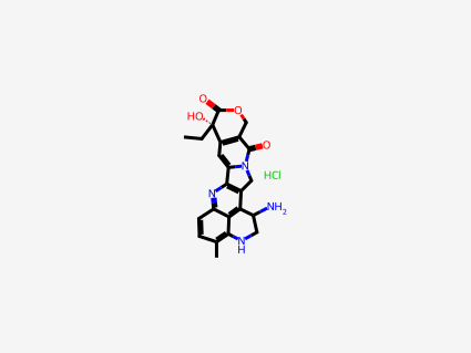 CC[C@@]1(O)C(=O)OCc2c1cc1n(c2=O)Cc2c-1nc1ccc(C)c3c1c2C(N)CN3.Cl